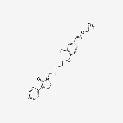 CCON=Cc1ccc(OCCCCCN2CCN(c3ccncc3)C2=O)c(F)c1